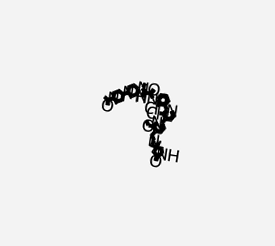 COc1nc(-c2ccnc(-c3cccc(NC(=O)c4nc5c(n4C)CCN(C4CCN(C(C)=O)CC4)C5)c3Cl)c2Cl)ccc1CN1CC2(CNC(=O)C2)C1